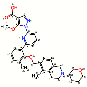 COc1c(C(=O)O)cnn1-c1cccc(-c2cccc(C)c2OCc2ccc3c(c2C)CCN([C@H]2CCCOC2)C3)n1